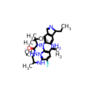 C=C(N)c1cc(F)c(NC(C)[C@H](CC)NC(=O)CC(C)(C)C)nc1Nc1ccc2c(c1)C=NC2CC